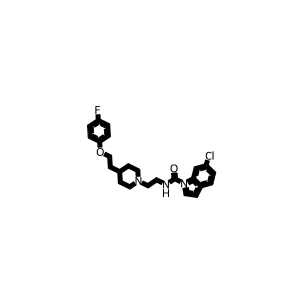 O=C(NCCN1CCC(CCOc2ccc(F)cc2)CC1)n1ccc2ccc(Cl)cc21